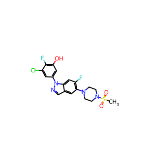 CS(=O)(=O)N1CCN(c2cc3cnn(-c4cc(O)c(F)c(Cl)c4)c3cc2F)CC1